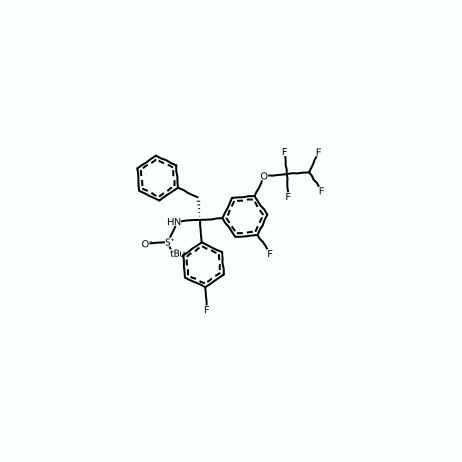 CC(C)(C)[S+]([O-])N[C@](Cc1ccccc1)(c1ccc(F)cc1)c1cc(F)cc(OC(F)(F)C(F)F)c1